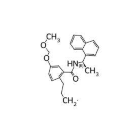 [CH2]CCc1ccc(OCOC)cc1C(=O)N[C@H](C)c1cccc2ccccc12